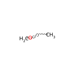 C=CCOC[C@H]1CC[C@H]([C@H]2CC[C@H](CCCCCCCC)CC2)CC1